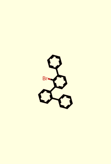 Brc1c(-c2ccccc2)cccc1-c1ccccc1-c1ccccc1